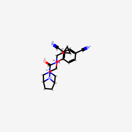 N#Cc1ccc(OCCN2C3CCC2CN(C(=O)NCC2CC2)C3)c(C#N)c1